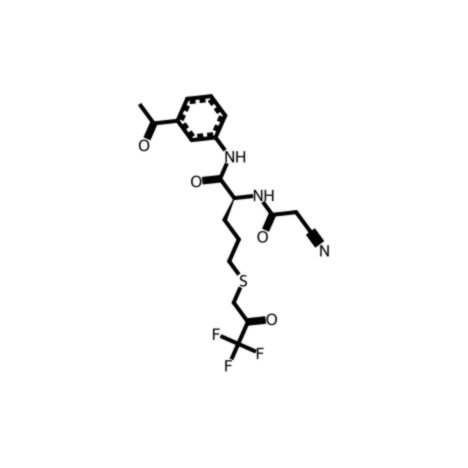 CC(=O)c1cccc(NC(=O)[C@H](CCCSCC(=O)C(F)(F)F)NC(=O)CC#N)c1